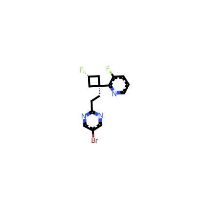 Fc1cccnc1[C@]1(CCc2ncc(Br)cn2)C[C@@H](F)C1